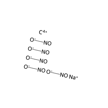 O=N[O-].O=N[O-].O=N[O-].O=N[O-].O=N[O-].[C+4].[Na+]